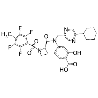 Cc1c(F)c(F)c(S(=O)(=O)N2CC[C@@H]2C(=O)N(Cc2cnc(C3CCCCC3)cn2)c2ccc(C(=O)O)c(O)c2)c(F)c1F